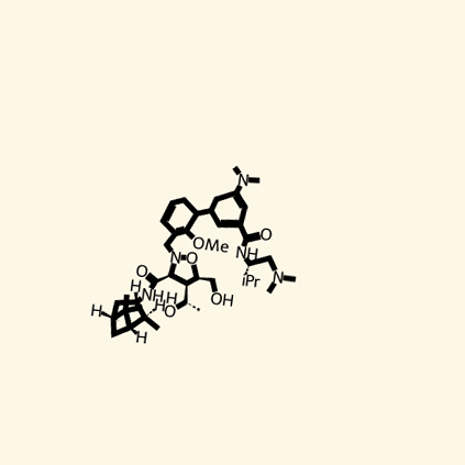 COC1=C(CN2O[C@@H](CO)[C@@H]([C@H](C)O)[C@H]2C(=O)N[C@H]2C[C@H]3C[C@@H]([C@@H]2C)C3(C)C)C=CCC1C1C=C(C(=O)N[C@H](CN(C)C)C(C)C)C=C(N(C)C)C1